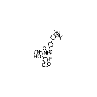 Cc1nn(C(C)C)c2cc(-c3ccc(C(=O)C(=O)N[C@H](CN4CCCC4)[C@H](O)c4cc(F)c5c(c4)OCCO5)cc3)ccc12